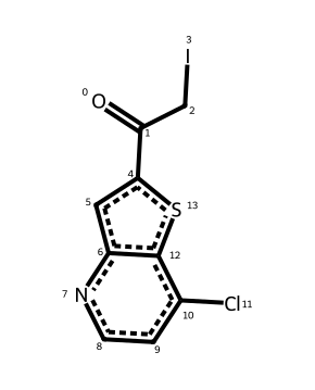 O=C(CI)c1cc2nccc(Cl)c2s1